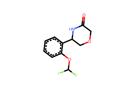 O=C1COCC(c2ccccc2OC(F)F)N1